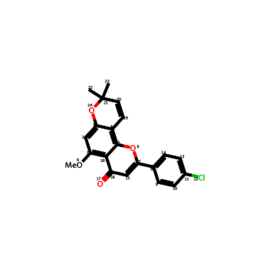 COc1cc2c(c3oc(-c4ccc(Cl)cc4)cc(=O)c13)C=CC(C)(C)O2